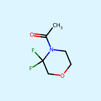 CC(=O)N1CCOCC1(F)F